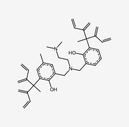 C=CC(=C)C(C)(C(=C)C=C)c1cccc(CN(CCN(C)C)Cc2cc(C)cc(C(C)(C(=C)C=C)C(=C)C=C)c2O)c1O